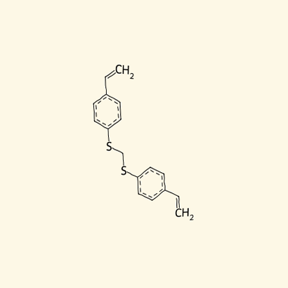 C=Cc1ccc(SCSc2ccc(C=C)cc2)cc1